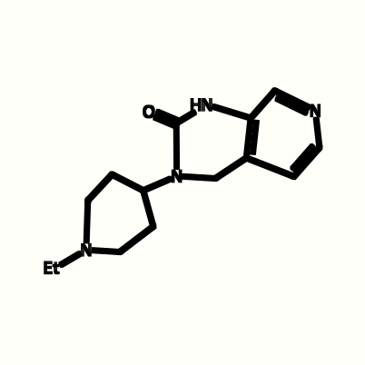 CCN1CCC(N2Cc3ccncc3NC2=O)CC1